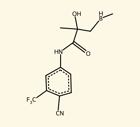 CBCC(C)(O)C(=O)Nc1ccc(C#N)c(C(F)(F)F)c1